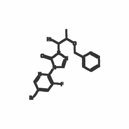 CCC(C(C)OCc1ccccc1)n1ncn(-c2ncc(Br)cc2F)c1=O